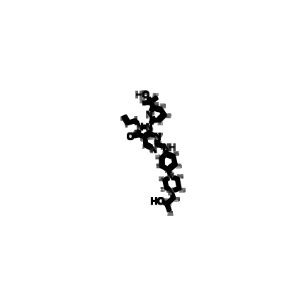 C=CCn1c(=O)c2cnc(Nc3ccc(N4CCN(CC(C)O)CC4)cc3)nc2n1-c1cccc(C(C)(C)O)n1